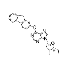 CC[C@H]1O[C@@H](n2cnc3c(Oc4ccc5c(c4)Cc4ccccc4-5)ncnc32)CC1C